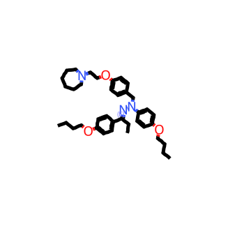 CCCCOc1ccc(/C(CC)=N/N(Cc2ccc(OCCN3CCCCCC3)cc2)c2ccc(OCCCC)cc2)cc1